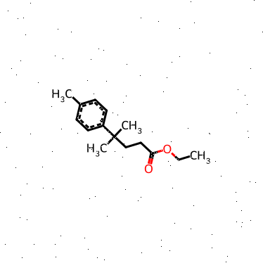 CCOC(=O)CCC(C)(C)c1ccc(C)cc1